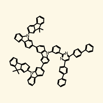 CC1(C)c2ccccc2-c2ccc(-n3c4ccccc4c4ccc(-c5ccc6c(c5)c5cc(-c7ccc8c9ccccc9n(-c9ccc%10c(c9)C(C)(C)c9ccccc9-%10)c8c7)ccc5n6-c5cccc(-c6nc(-c7ccc(-c8ccccc8)cc7)cc(-c7ccc(-c8ccccc8)cc7)n6)c5)cc43)cc21